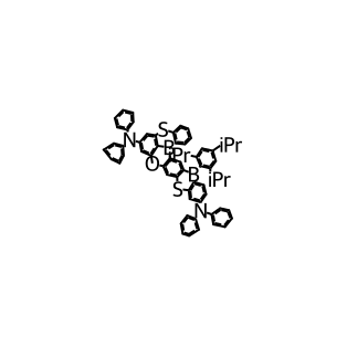 CC(C)c1cc(C(C)C)c(B2c3ccc(N(c4ccccc4)c4ccccc4)cc3Sc3cc4c(cc32)B2c3ccccc3Sc3cc(N(c5ccccc5)c5ccccc5)cc(c32)O4)c(C(C)C)c1